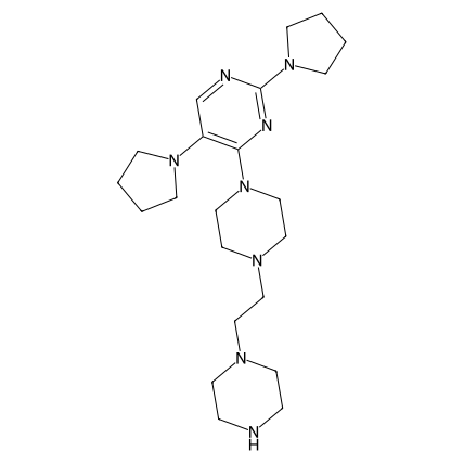 c1nc(N2CCCC2)nc(N2CCN(CCN3CCNCC3)CC2)c1N1CCCC1